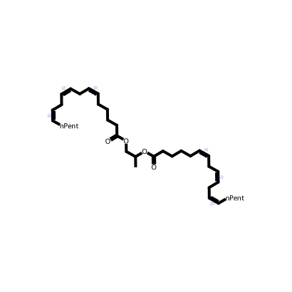 CCCCC/C=C\C/C=C\C/C=C\CCCCC(=O)OCC(C)OC(=O)CCCC/C=C\C/C=C\C/C=C\CCCCC